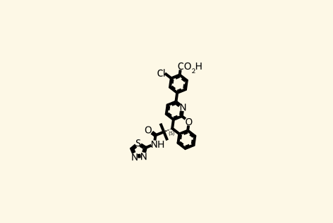 CC(C)(C(=O)Nc1nncs1)[C@H]1c2ccccc2Oc2nc(-c3ccc(C(=O)O)c(Cl)c3)ccc21